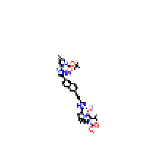 COC(=O)N[C@H](C(=O)N1[C@@H]2CC2C[C@H]1c1nc(C#Cc2ccc3cc(-c4cnc([C@@H]5C[C@@H](C)CN5C(=O)OC(C)(C)C)[nH]4)ccc3c2)c[nH]1)C(C)C